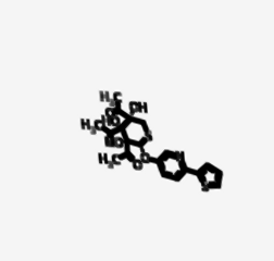 CC(=O)[C@]1(O)[C@@](O)(C(C)=O)CS[C@H](Oc2ccc(-c3cccs3)nc2)[C@@]1(O)C(C)=O